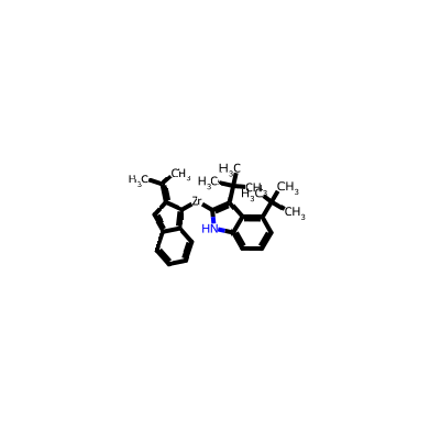 CC(C)=C1C=c2ccccc2=[C]1[Zr][c]1[nH]c2cccc(C(C)(C)C)c2c1C(C)(C)C